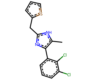 Cc1[nH]c(Cc2cccs2)nc1-c1cccc(Cl)c1Cl